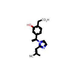 C=C(c1ccc(CC(=O)O)c(O)c1)n1ccnc1/C=C(\C)C#N